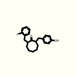 O=C1C(Cc2ccc(O)cc2)CCCCCC1Cc1ccccc1F